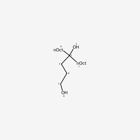 CCCCCCCCC(O)(CCCO)CCCCCCCC